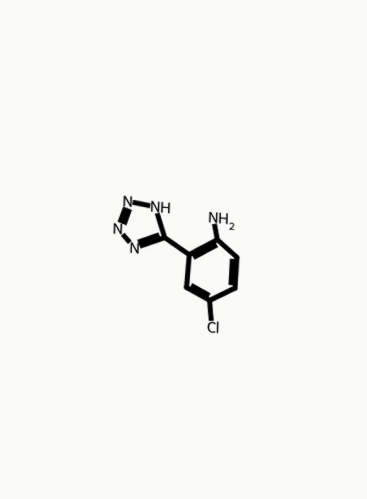 Nc1ccc(Cl)cc1-c1nnn[nH]1